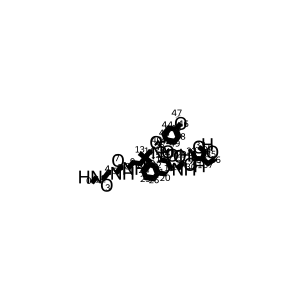 CNC(=O)CNC(=O)NCCC(C)(C)CN(C[C@H](O)[C@H](Cc1ccccc1)NC(=O)O[C@@H]1CO[C@@H]2OCC[C@@H]21)S(=O)(=O)c1ccc(OC)cc1